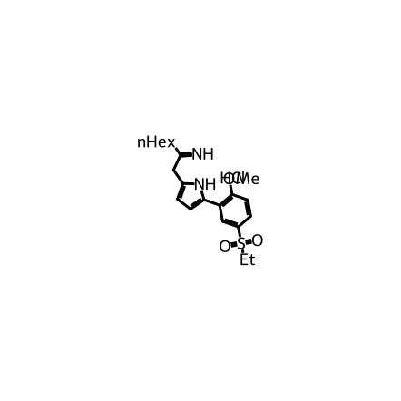 CCCCCCC(=N)Cc1ccc(-c2cc(S(=O)(=O)CC)ccc2OC)[nH]1.Cl